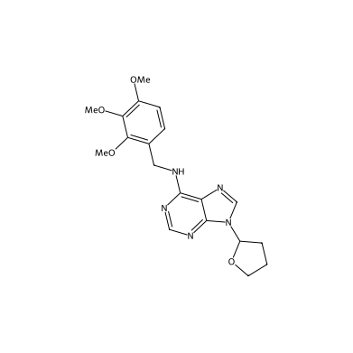 COc1ccc(CNc2ncnc3c2ncn3C2CCCO2)c(OC)c1OC